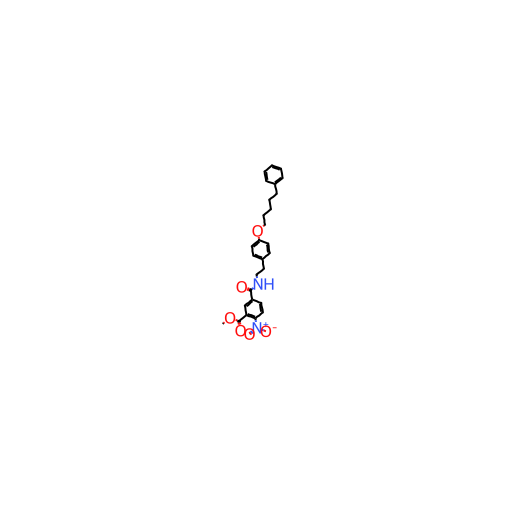 COC(=O)c1cc(C(=O)NCCc2ccc(OCCCCCc3ccccc3)cc2)ccc1[N+](=O)[O-]